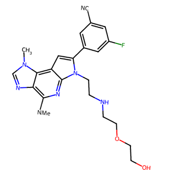 CNc1nc2c(cc(-c3cc(F)cc(C#N)c3)n2CCNCCOCCO)c2c1ncn2C